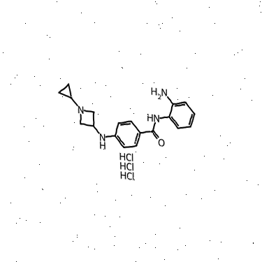 Cl.Cl.Cl.Nc1ccccc1NC(=O)c1ccc(NC2CN(C3CC3)C2)cc1